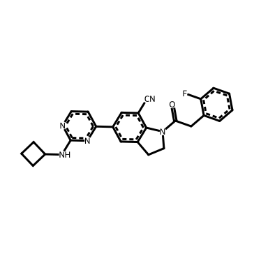 N#Cc1cc(-c2ccnc(NC3CCC3)n2)cc2c1N(C(=O)Cc1ccccc1F)CC2